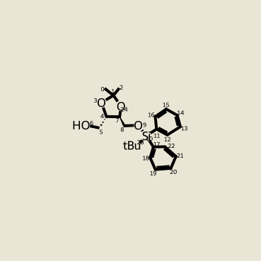 CC1(C)O[C@@H](CO)[C@H](CO[Si](c2ccccc2)(c2ccccc2)C(C)(C)C)O1